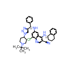 CC(C)(C)N1CCC(n2cc([C@@H](Nc3cc(Cl)c4ncc(C#N)c(N[C@H]5CCCc6ccccc65)c4c3)c3ccccc3)nn2)CC1